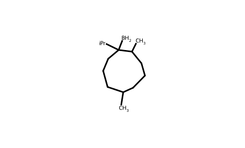 BC1(C(C)C)CCCC(C)CCCC1C